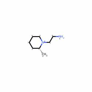 C[C@@H]1CCCCN1CCN